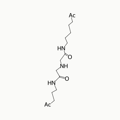 CC(=O)CCCCCNC(=O)CNCC(=O)NCCCC(C)=O